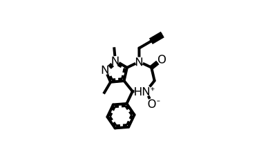 C#CCN1C(=O)C[NH+]([O-])C(c2ccccc2)c2c(C)nn(C)c21